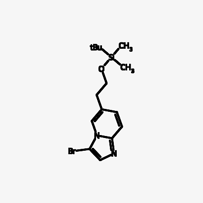 CC(C)(C)[Si](C)(C)OCCc1ccc2ncc(Br)n2c1